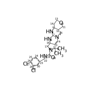 CC1(C)C2=CN(I)C(NC3CCOCC3)NC2CN1C(=O)NCc1ccc(Cl)c(Cl)c1